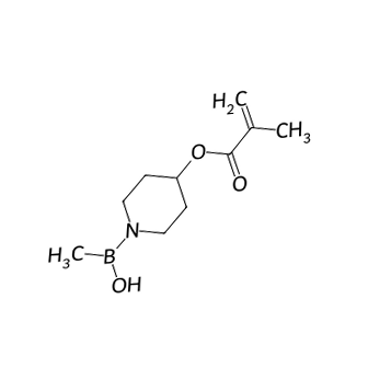 C=C(C)C(=O)OC1CCN(B(C)O)CC1